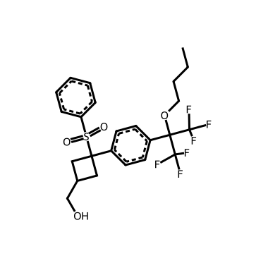 CCCCOC(c1ccc(C2(S(=O)(=O)c3ccccc3)CC(CO)C2)cc1)(C(F)(F)F)C(F)(F)F